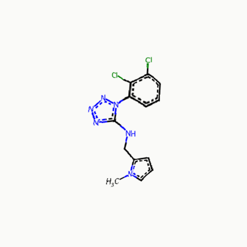 Cn1cccc1CNc1nnnn1-c1cccc(Cl)c1Cl